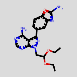 CCOC(Cn1nc(-c2ccc3oc(N)nc3c2)c2c(N)ncnc21)OCC